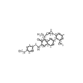 CCSc1ccc(CNc2nc3cnc(-c4c(C)ncnc4C4CC4)nc3n([C@@H](C)C(F)(F)F)c2=O)nc1